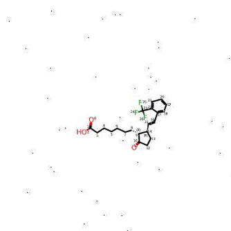 O=C(O)CCCCCC[C@H]1C(=O)CC[C@@H]1C=Cc1ccccc1C(F)(F)F